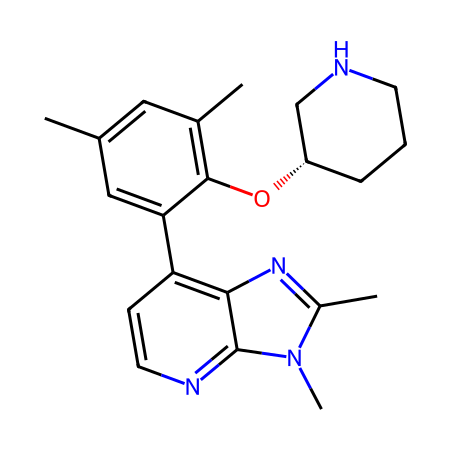 Cc1cc(C)c(O[C@H]2CCCNC2)c(-c2ccnc3c2nc(C)n3C)c1